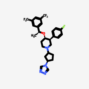 C[C@@H](O[C@H]1CCN(C2CC[C@@H](n3cnnc3)C2)C[C@@H]1c1ccc(F)cc1)c1cc(C(F)(F)F)cc(C(F)(F)F)c1